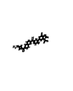 Cc1nc2c(F)cc(-c3nc(Nc4ccc5c(n4)CCN(C(=O)C4CC(N)C4)C5)ncc3F)cc2n1C(C)C